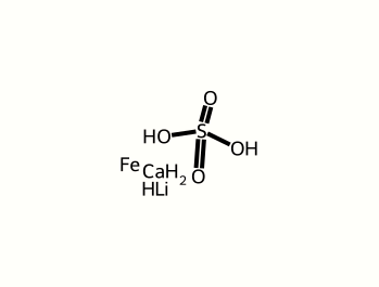 O=S(=O)(O)O.[CaH2].[Fe].[LiH]